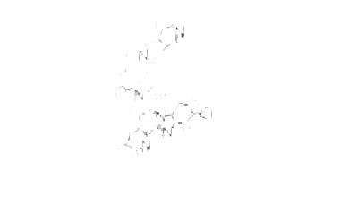 O=C(C1CCN(Cc2ccncc2)CC1)N1CCC(n2c(-c3ccccn3)nc3cc(Cl)ccc32)CC1